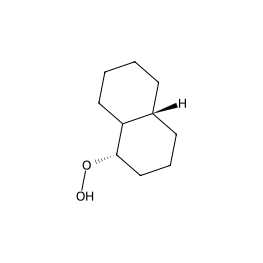 OO[C@H]1CCC[C@H]2CCCCC21